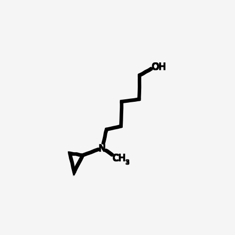 CN(CCCCCO)C1CC1